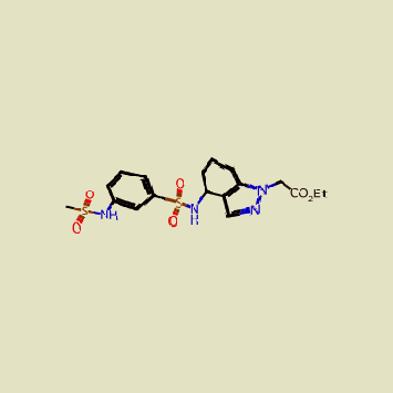 CCOC(=O)Cn1ncc2c1CCCC2NS(=O)(=O)c1cccc(NS(C)(=O)=O)c1